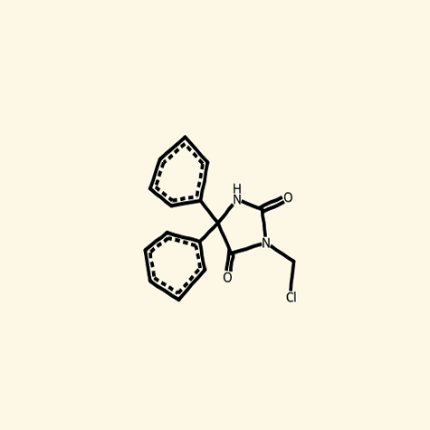 O=C1NC(c2ccccc2)(c2ccccc2)C(=O)N1CCl